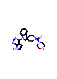 O=C(N1CCOCC1)N1CCC2(CC1)CN(c1ncnc3[nH]ccc13)c1ccccc12